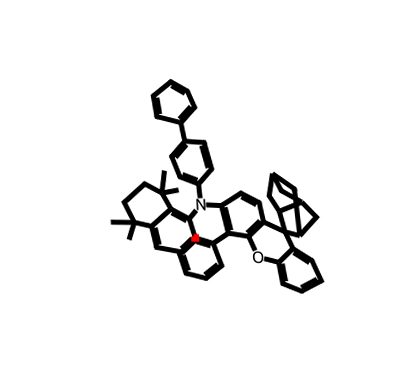 CC1(C)CCC(C)(C)c2c(N(c3ccc(-c4ccccc4)cc3)c3ccc4c(c3-c3ccccc3)Oc3ccccc3C43C4CC5CC(C4)C3C5)cccc21